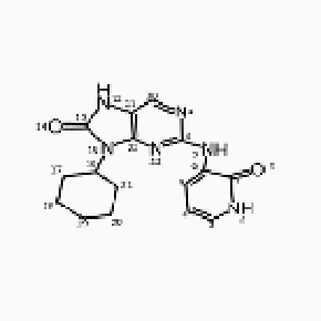 O=c1[nH]cccc1Nc1ncc2[nH]c(=O)n(C3CCCCC3)c2n1